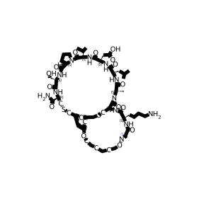 CC(C)C[C@@H]1NC(=O)[C@H](C)NC(=O)[C@@H]2CSCc3cc(cc(c3)OCCCCCCO/N=C/C(=O)N[C@@H](CCCCN)C(=O)N2)CSC[C@@H](C(N)=O)NC(=O)[C@H](CO)NC(=O)[C@@H]2CCCN2C(=O)[C@H](C(C)C)NC(=O)[C@H](CC(=O)O)NC1=O